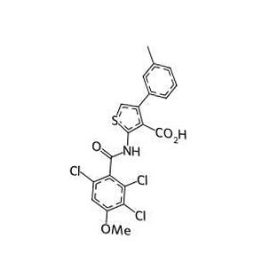 COc1cc(Cl)c(C(=O)Nc2scc(-c3cccc(C)c3)c2C(=O)O)c(Cl)c1Cl